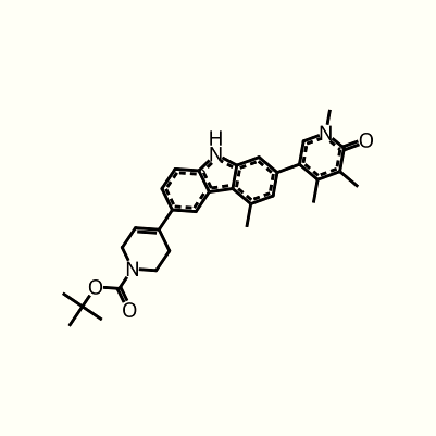 Cc1c(-c2cc(C)c3c(c2)[nH]c2ccc(C4=CCN(C(=O)OC(C)(C)C)CC4)cc23)cn(C)c(=O)c1C